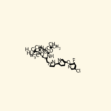 CC(C)(C)OC(=O)N[C@H](CO[Si](C)(C)C(C)(C)C)Cn1ccc(-c2ccc(Oc3ncc(Cl)cc3F)cn2)n1